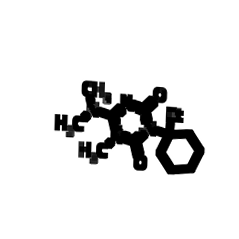 CCC1(n2c(=O)nc(N(C)C)n(C)c2=O)CCCCC1